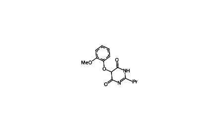 COc1ccccc1OC1C(=O)N=C(C(C)C)NC1=O